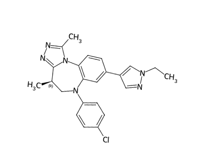 CCn1cc(-c2ccc3c(c2)N(c2ccc(Cl)cc2)C[C@@H](C)c2nnc(C)n2-3)cn1